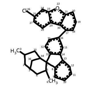 CC1CC2CC(C)C3(c4ccccc4-c4cc(-c5cccc6oc7cc(Cl)ccc7c56)ccc43)C(C1)C2